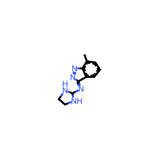 Cc1cccc2c1N=NC2=NC1NCCN1